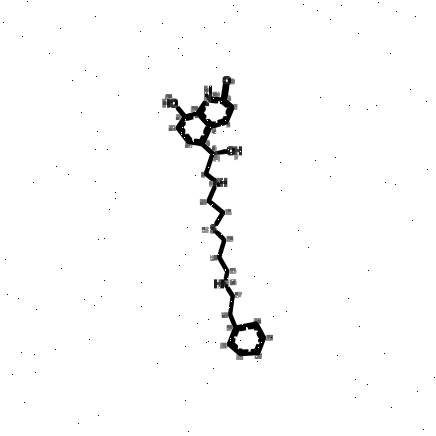 O=c1ccc2c([C@@H](O)CNCCSCCCNCCc3ccccc3)ccc(O)c2[nH]1